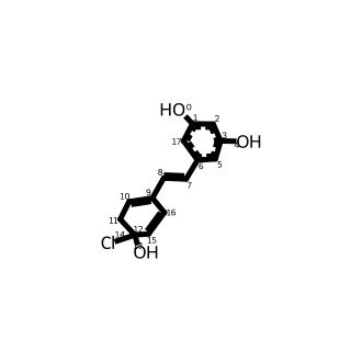 Oc1cc(O)cc(C=CC2=CCC(O)(Cl)C=C2)c1